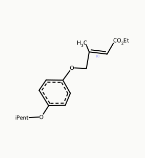 CCCC(C)Oc1ccc(OC/C(C)=C/C(=O)OCC)cc1